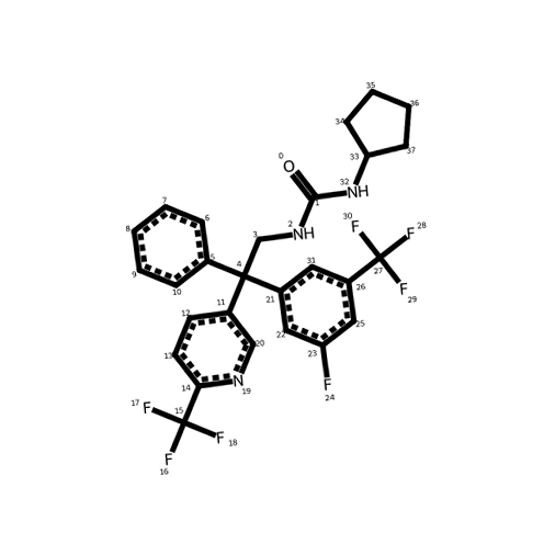 O=C(NCC(c1ccccc1)(c1ccc(C(F)(F)F)nc1)c1cc(F)cc(C(F)(F)F)c1)NC1CCCC1